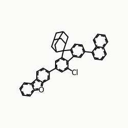 Clc1cc(-c2ccc3c(c2)oc2ccccc23)cc2c1-c1cc(-c3cccc4ccccc34)ccc1C21C2CC3CC(C2)CC1C3